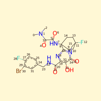 CN(C)C(=O)C(=O)NC12CCC(F)(CC1)Cn1c2nc(C(=O)NCc2ccc(F)c(Br)c2)c(O)c1=O